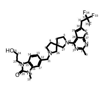 Cc1nc(N2CCC3(CCN(Cc4ccc5c(c4)n(C)c(=O)n5CCO)C3)C2)c2cc(CC(F)(F)F)sc2n1